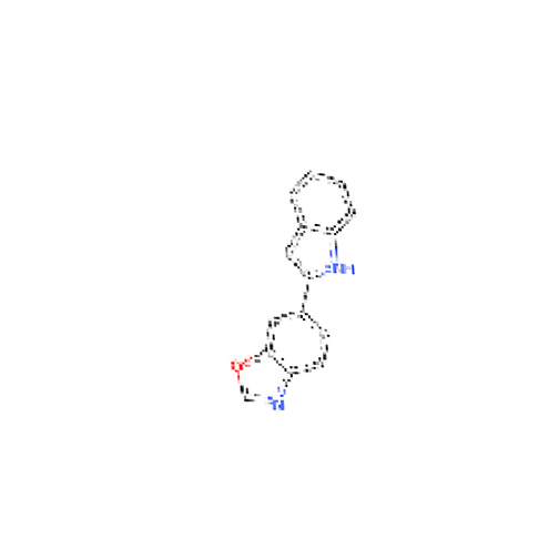 c1ccc2[nH]c(-c3ccc4ncoc4c3)cc2c1